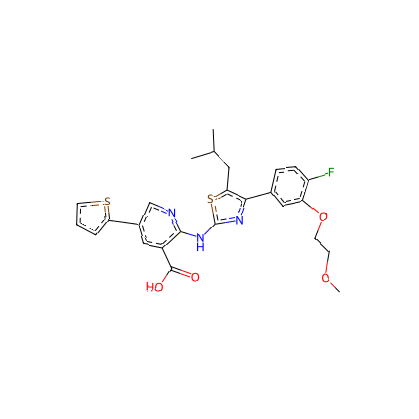 COCCOc1cc(-c2nc(Nc3ncc(-c4cccs4)cc3C(=O)O)sc2CC(C)C)ccc1F